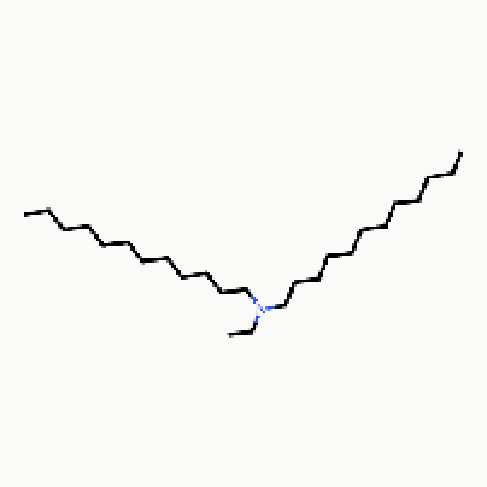 CCCCCCCCCCCCN(CC)CCCCCCCCCCCC